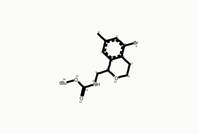 Cc1cc(Br)c2c(c1)C(CNC(=O)OC(C)(C)C)OCC2